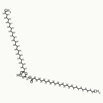 CCCCCCCCCCCCCCCCCCCCCCCCCCCC(=O)OC[C@H](CO)OC(=O)CCCCCCCCCCCCCCCCCCCCCCCCCCC